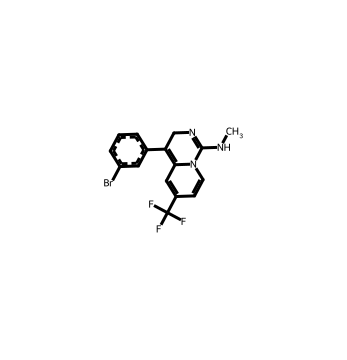 CNC1=NCC(c2cccc(Br)c2)=C2C=C(C(F)(F)F)C=CN12